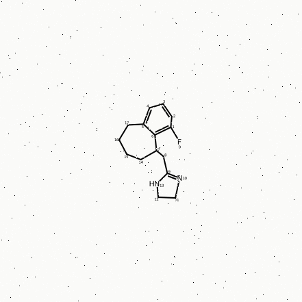 Fc1cccc2c1C(CC1=NCCN1)CCCC2